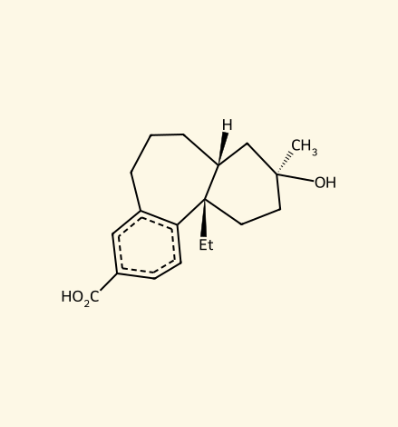 CC[C@]12CC[C@](C)(O)C[C@H]1CCCc1cc(C(=O)O)ccc12